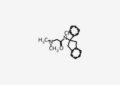 CN(C)CC(=O)N(C)C1(c2ccccc2)Cc2ccccc2C1